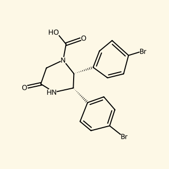 O=C1CN(C(=O)O)[C@H](c2ccc(Br)cc2)[C@H](c2ccc(Br)cc2)N1